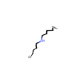 CC(C)(C)CCCCNCCCCC(C)(C)C